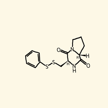 O=C1N[C@@H](CSSc2ccccc2)C(=O)N2CCC[C@H]12